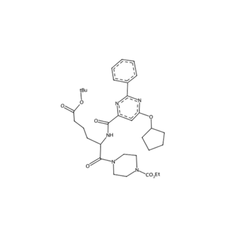 CCOC(=O)N1CCN(C(=O)C(CCCC(=O)OC(C)(C)C)NC(=O)c2cc(OC3CCCC3)nc(-c3ccccc3)n2)CC1